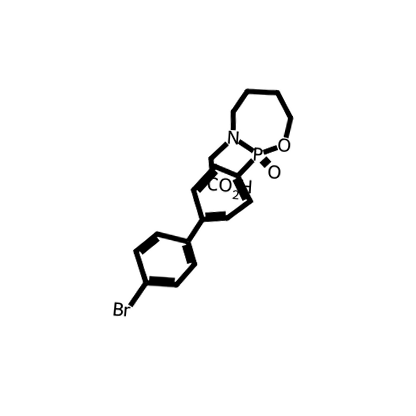 O=C(O)CN1CCCCOP1(=O)c1ccc(-c2ccc(Br)cc2)cc1